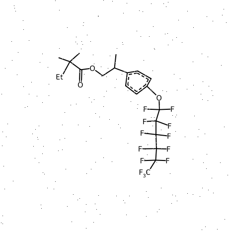 CCC(C)(C)C(=O)OCC(C)c1ccc(OC(F)(F)C(F)(F)C(F)(F)C(F)(F)C(F)(F)C(F)(F)F)cc1